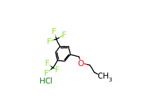 CCCOCc1cc(C(F)(F)F)cc(C(F)(F)F)c1.Cl